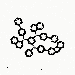 c1ccc(-c2ccc(N(c3cc(N(c4ccccc4)c4ccc(-c5ccc6oc7ccccc7c6c5)cc4)cc(N(c4ccc(-c5ccccc5)cc4)c4cccc5ccccc45)c3)c3cccc4ccccc34)cc2)cc1